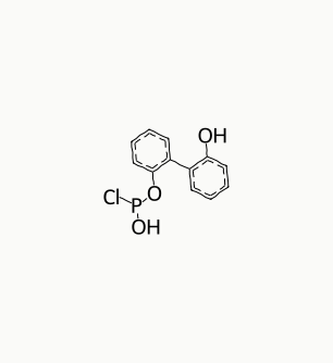 Oc1ccccc1-c1ccccc1OP(O)Cl